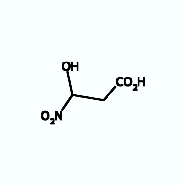 O=C(O)CC(O)[N+](=O)[O-]